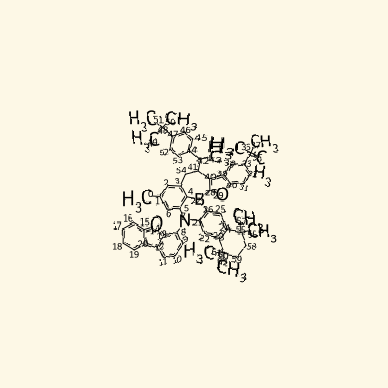 Cc1cc2c3c(c1)N(c1cccc4c1oc1ccccc14)c1cc4c(cc1B3c1oc3ccc(C(C)(C)C)cc3c1C(C(C)c1ccc(C(C)(C)C)cc1)C2)C(C)(C)CCC4(C)C